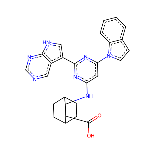 O=C(O)C1C2CCC(CC2)C1Nc1cc(-n2ccc3ccccc32)nc(-c2c[nH]c3ncncc23)n1